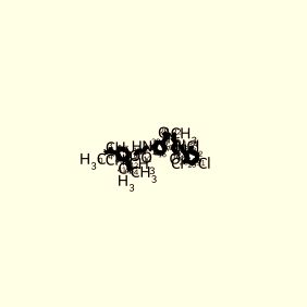 CCC(C)(C)c1ccc(OCC(=O)Nc2cccc(C(=O)N(C)C3=NN(c4c(Cl)cc(Cl)cc4Cl)C(=O)C3)c2)c(C(C)(C)CC)c1